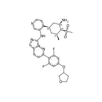 C[C@H]1C[C@@H](c2ccncc2Nc2ncc3ccc(-c4c(F)cc(OC5CCOC5)cc4F)nn23)C[C@@H](N)[C@H]1S(C)(=O)=O